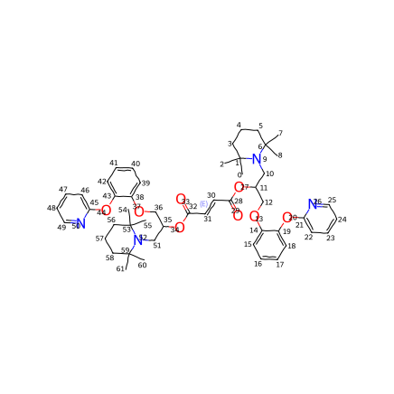 CC1(C)CCCC(C)(C)N1CC(COc1ccccc1Oc1ccccn1)OC(=O)/C=C/C(=O)OC(COc1ccccc1Oc1ccccn1)CN1C(C)(C)CCCC1(C)C